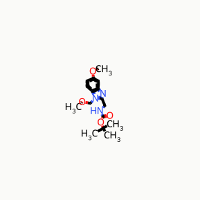 COCn1c(CNC(=O)OC(C)(C)C)nc2cc(OC)ccc21